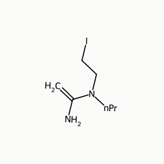 C=C(N)N(CCC)CCI